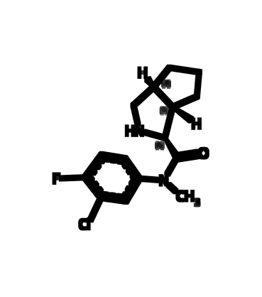 CN(C(=O)[C@H]1NC[C@@H]2CCC[C@@H]21)c1ccc(F)c(Cl)c1